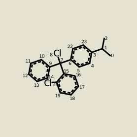 CC(C)c1ccc(C(Cl)(c2ccccc2)c2ccccc2Cl)cc1